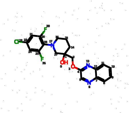 OC1(COc2cnc3ccccc3n2)CCCN(c2c(F)cc(Cl)cc2F)C1